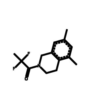 Cc1cc(C)c2c(c1)CN(C(=O)C(C)(F)F)CC2